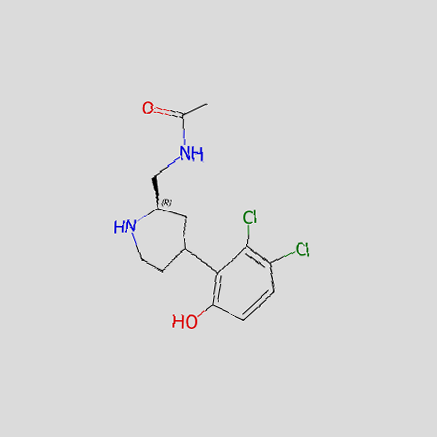 CC(=O)NC[C@H]1CC(c2c(O)ccc(Cl)c2Cl)CCN1